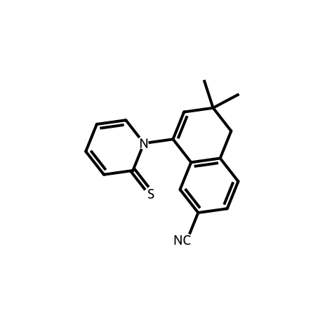 CC1(C)C=C(n2ccccc2=S)c2cc(C#N)ccc2C1